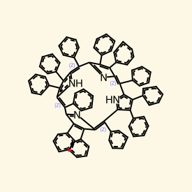 c1ccc(C2=C(c3ccccc3)/C3=C(\c4ccccc4)c4[nH]c(c(-c5ccccc5)c4-c4ccccc4)/C(c4ccccc4)=C4N=C(C(c5ccccc5)=C\4c4ccccc4)/C(c4ccccc4)=c4\[nH]/c(c(-c5ccccc5)c4-c4ccccc4)=C(/c4ccccc4)C2=N3)cc1